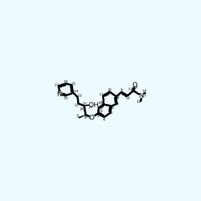 C[C@H](Oc1ccc2cc(C=CC(=O)N(C)C)ccc2c1)[C@H](O)CCc1cccnc1